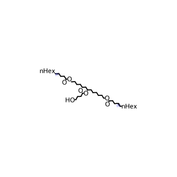 CCCCCC/C=C/CCC(=O)OCCCCCCC(CCCCCCOC(=O)CC/C=C/CCCCCC)OC(=O)CCCO